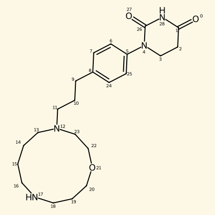 O=C1CCN(c2ccc(CCCN3CCCCNCCCOCC3)cc2)C(=O)N1